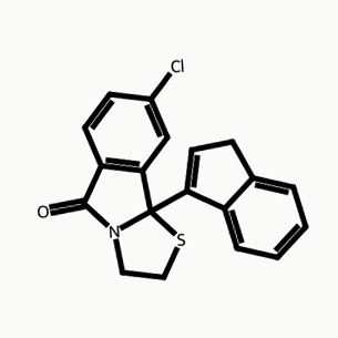 O=C1c2ccc(Cl)cc2C2(C3=CCc4ccccc43)SCCN12